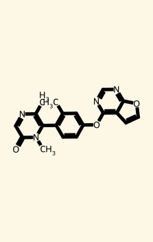 Cc1cc(Oc2ncnc3occc23)ccc1-c1c(C)ncc(=O)n1C